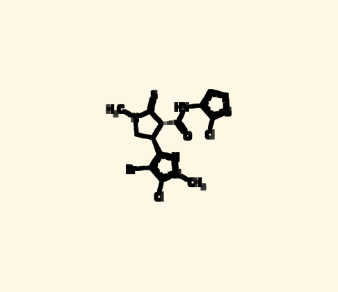 CN1C[C@H](c2nn(C)c(Cl)c2Br)[C@@H](C(=O)Nc2ccsc2Cl)C1=S